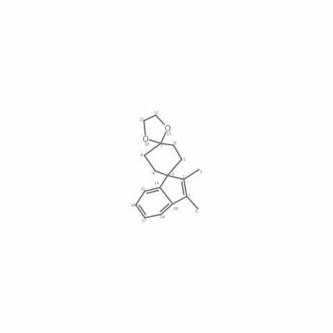 CC1=C(C)C2(CCC3(CC2)OCCO3)c2ccccc21